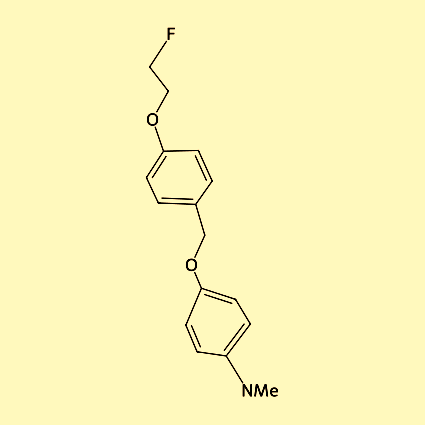 CNc1ccc(OCc2ccc(OCCF)cc2)cc1